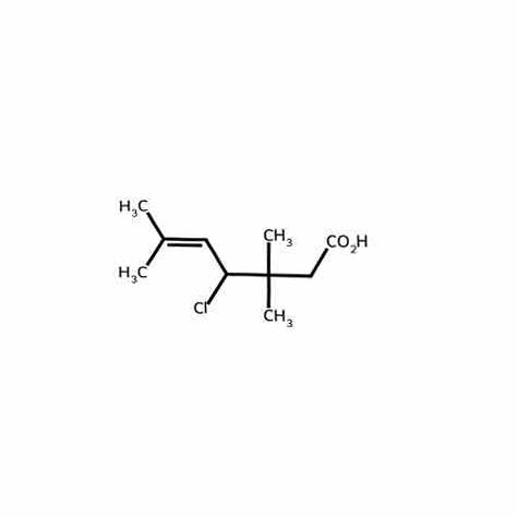 CC(C)=CC(Cl)C(C)(C)CC(=O)O